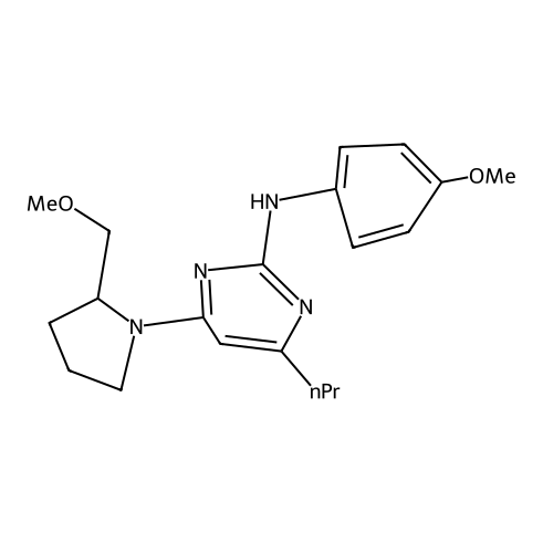 CCCc1cc(N2CCCC2COC)nc(Nc2ccc(OC)cc2)n1